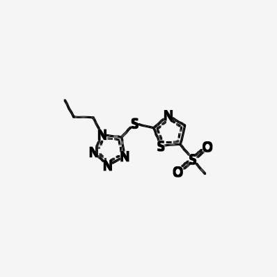 CCCn1nnnc1Sc1ncc(S(C)(=O)=O)s1